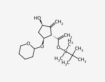 C=C(O[Si](C)(C)C(C)(C)C)[C@H]1C(=C)[C@H](O)C[C@@H]1OC1CCCCO1